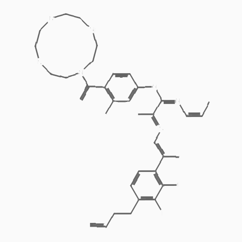 C=CCCc1ccc(/C(C)=C/N=C(C)/C(=N\C=C/C)Nc2ccc(C(=C)N3CCNCCNCCNCC3)c(C)c2)c(F)c1F